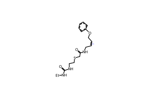 CCNC(=O)NCCSCC(=O)NC/C=C\COc1ccccc1